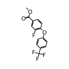 COC(=O)c1ccc(Oc2ccc(C(F)(F)F)cc2)c(F)c1